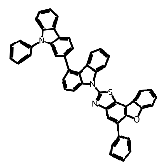 c1ccc(-c2cc3nc(-n4c5ccccc5c5c(-c6ccc7c8ccccc8n(-c8ccccc8)c7c6)cccc54)sc3c3c2oc2ccccc23)cc1